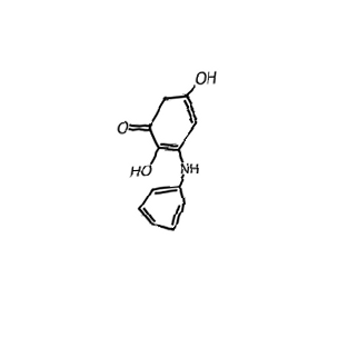 O=C1CC(O)=CC(Nc2ccccc2)=C1O